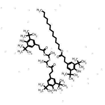 CC(OC(=O)CCc1cc(C(C)(C)C)c(O)c(C(C)(C)C)c1)SC(C)OC(=O)CCc1cc(C(C)(C)C)c(O)c(C(C)(C)C)c1.CCCCCCCCCCCCCOC(=O)CCc1cc(C(C)(C)C)c(O)c(C(C)(C)C)c1